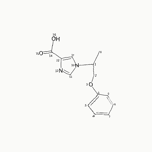 CC(COc1ccccc1)n1cnc(C(=O)O)c1